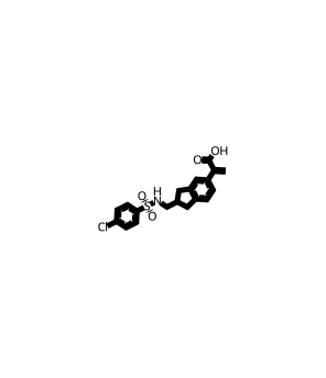 C=C(C(=O)O)c1ccc2c(c1)CC(CNS(=O)(=O)c1ccc(Cl)cc1)C2